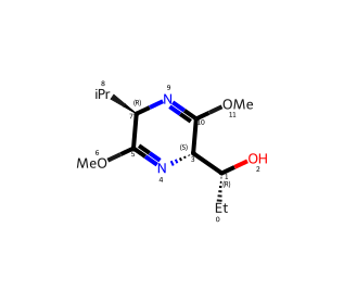 CC[C@@H](O)[C@@H]1N=C(OC)[C@@H](C(C)C)N=C1OC